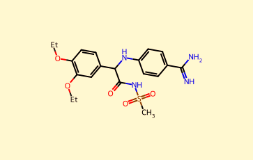 CCOc1ccc(C(Nc2ccc(C(=N)N)cc2)C(=O)NS(C)(=O)=O)cc1OCC